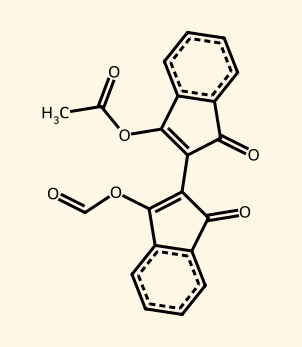 CC(=O)OC1=C(C2=C(OC=O)c3ccccc3C2=O)C(=O)c2ccccc21